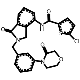 O=C(Nc1cccc2c1CN(Cc1cccc(N3CCOCC3=O)c1)C2=O)c1ccc(Cl)s1